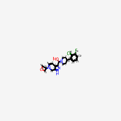 OC(c1n[nH]c2c1CCN(C1COC1)C2)N1CCC(c2cccc(F)c2Cl)CC1